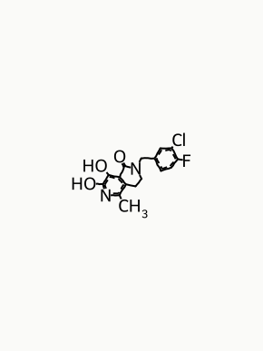 Cc1nc(O)c(O)c2c1CCN(Cc1ccc(F)c(Cl)c1)C2=O